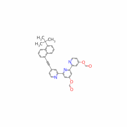 CC(C)(C)c1cccc2c(C#Cc3ccnc(-c4cc(OC=O)cc(-c5cc(OC=O)ccn5)n4)c3)cccc12